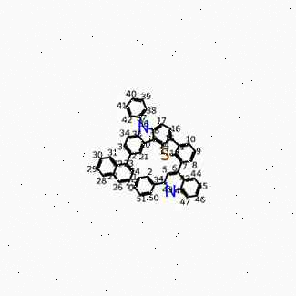 c1ccc(-c2cc(-c3cccc4c3sc3c4ccc4c3c3cc(-c5cccc6ccccc56)ccc3n4-c3ccccc3)c3ccccc3n2)cc1